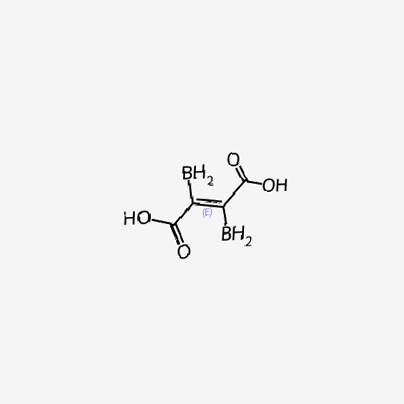 B/C(C(=O)O)=C(/B)C(=O)O